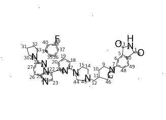 O=C1NC(=O)c2cc(N3CCC(CN4CCN(c5cccc(-c6cnc7ccc(N8CCC[C@@H]8c8cccc(F)c8)nn67)n5)CC4)CC3)ccc21